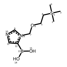 C[Si](C)(C)CCOCn1cncc1B(O)O